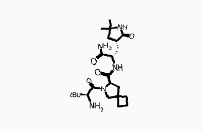 CC1(C)C[C@@H](C[C@H](NC(=O)C2CC3(CCC3)CN2C(=O)[C@@H](N)C(C)(C)C)C(N)=O)C(=O)N1